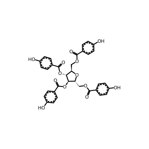 O=C(OC[C@H]1O[C@H](COC(=O)c2ccc(O)cc2)[C@@H](OC(=O)c2ccc(O)cc2)[C@@H]1OC(=O)c1ccc(O)cc1)c1ccc(O)cc1